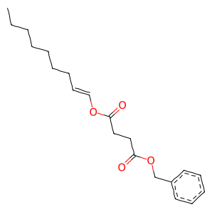 CCCCCCCC=COC(=O)CCC(=O)OCc1ccccc1